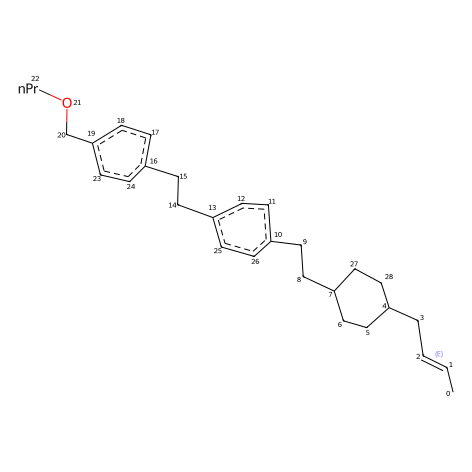 C/C=C/CC1CCC(CCc2ccc(CCc3ccc(COCCC)cc3)cc2)CC1